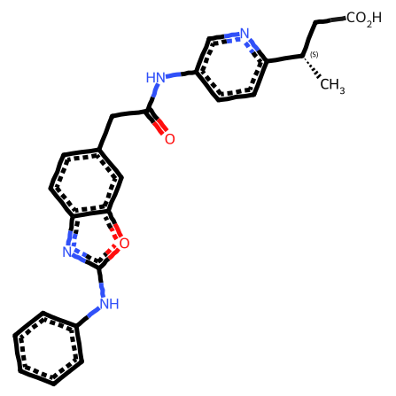 C[C@@H](CC(=O)O)c1ccc(NC(=O)Cc2ccc3nc(Nc4ccccc4)oc3c2)cn1